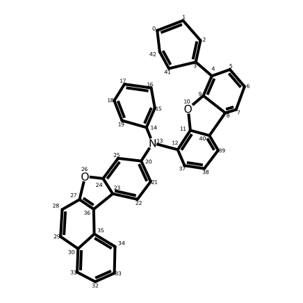 c1ccc(-c2cccc3c2oc2c(N(c4ccccc4)c4ccc5c(c4)oc4ccc6ccccc6c45)cccc23)cc1